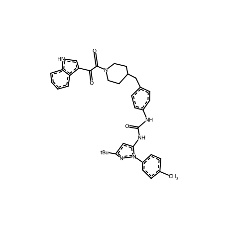 Cc1ccc(-n2nc(C(C)(C)C)cc2NC(=O)Nc2ccc(CC3CCN(C(=O)C(=O)c4c[nH]c5ccccc45)CC3)cc2)cc1